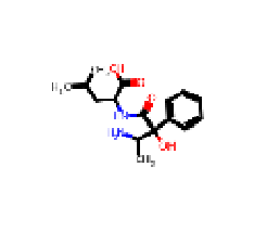 CC(C)C[C@H](NC(=O)C(O)(c1ccccc1)C(C)N)C(=O)O